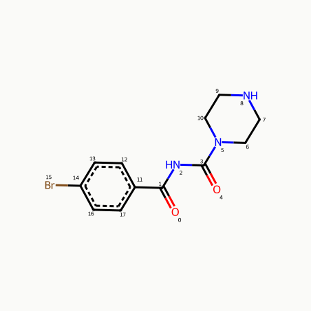 O=C(NC(=O)N1CCNCC1)c1ccc(Br)cc1